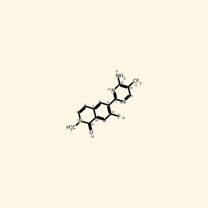 Cn1ccc2cc(-c3ncc(C(F)(F)F)c(N)n3)c(F)cc2c1=O